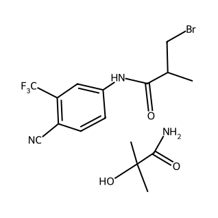 CC(C)(O)C(N)=O.CC(CBr)C(=O)Nc1ccc(C#N)c(C(F)(F)F)c1